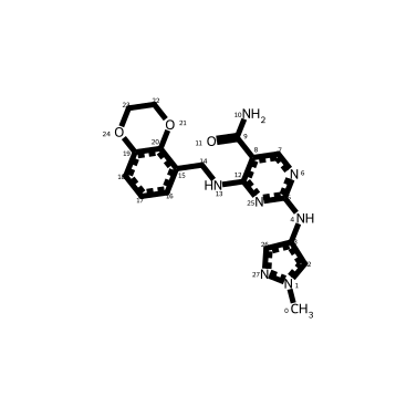 Cn1cc(Nc2ncc(C(N)=O)c(NCc3cccc4c3OCCO4)n2)cn1